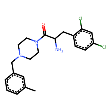 Cc1cccc(CN2CCN(C(=O)C(N)Cc3ccc(Cl)cc3Cl)CC2)c1